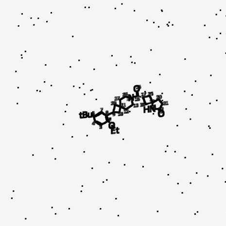 CCOc1ccc(C(C)(C)C)cc1C1CC2(CCN(C(=O)[C@H]3C[C@]4(CCC(=O)N4)C3)CC2)C1